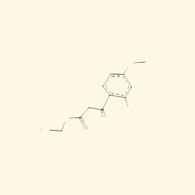 CCOC(=O)CC(=O)c1ccc(OC)cc1O